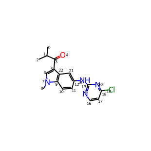 CC(C)C(=O)c1cn(C)c2ccc(Nc3nccc(Cl)n3)cc12